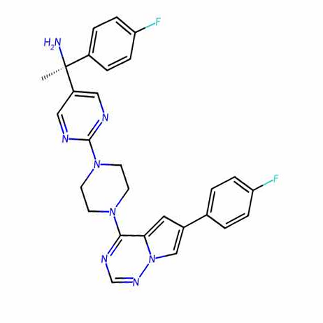 C[C@](N)(c1ccc(F)cc1)c1cnc(N2CCN(c3ncnn4cc(-c5ccc(F)cc5)cc34)CC2)nc1